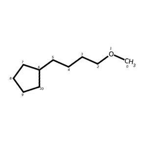 COCCCCC1CCCC1